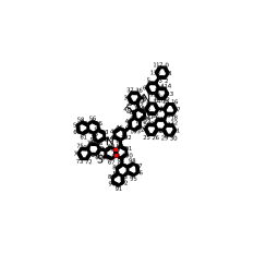 c1ccc(-c2ccc(N(c3cccc(-c4ccccc4-c4cc5ccccc5c5ccccc45)c3)c3cccc4sc5c6cc(-c7ccc(N(c8ccc9c(ccc%10ccccc%109)c8)c8cccc9sc%10c%11ccccc%11ccc%10c89)c(-c8ccc(-c9cc%10ccccc%10c%10ccccc9%10)cc8)c7)ccc6ccc5c34)c3ccccc23)cc1